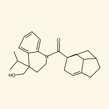 CC(C)C1(CO)CCN(C(=O)C23CC=C4CCC(C2)C4C3)c2ccccc21